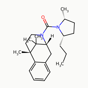 CCC[C@H]1CC[C@@H](C)N1C(=O)N1CC[C@@]2(C)c3ccccc3C[C@@H]1C2(C)C